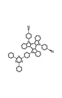 N#Cc1ccc(-n2c3ccccc3c3c2c2c4ccccc4n(-c4ccc(-c5nc(-c6ccccc6)nc(-c6ccccc6)n5)cc4)c2c2c4ccccc4n(-c4ccc(C#N)cc4)c32)cc1